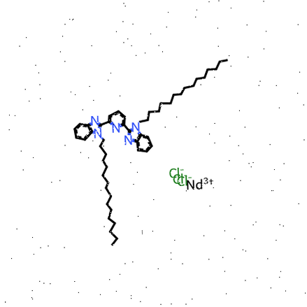 CCCCCCCCCCCCCCCCn1c(-c2cccc(-c3nc4ccccc4n3CCCCCCCCCCCCCCCC)n2)nc2ccccc21.[Cl-].[Cl-].[Cl-].[Nd+3]